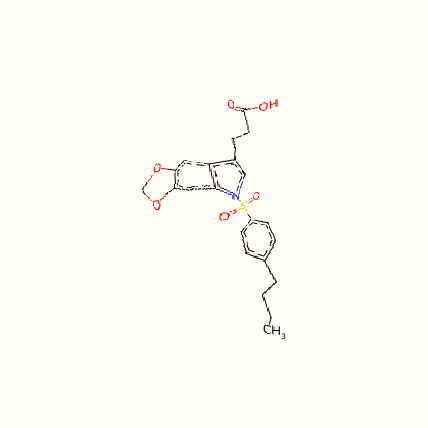 CCCCc1ccc(S(=O)(=O)n2cc(CCC(=O)O)c3cc4c(cc32)OCO4)cc1